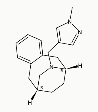 Cn1cc(CN2C[C@@H]3CC[C@H]2Cc2ccccc2C3)cn1